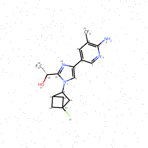 Nc1ncc(-c2cn(C3CC4(F)CC3C4)c([C@H](O)C(F)(F)F)n2)cc1C(F)(F)F